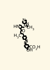 Cc1nc2cnccc2n1CC1CCNCC1C(=O)CC(C)Cc1ccc(N=Nc2ccc(O)c(C(=O)O)c2)cc1